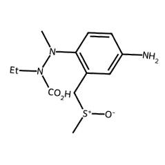 CCN(C(=O)O)N(C)c1ccc(N)cc1C[S+](C)[O-]